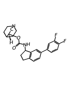 O=C(NC1CCc2ccc(-c3ccc(F)c(F)c3)cc21)O[C@H]1CN2CCC1CC2